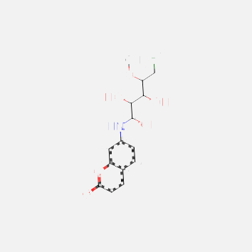 COC(CF)C(O)C(O)C(O)Nc1ccc2ccc(=O)oc2c1